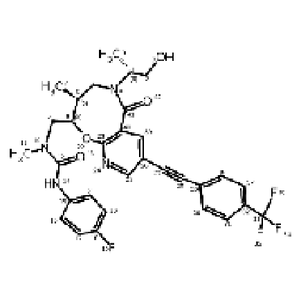 C[C@H](CO)N1C[C@H](C)[C@H](CN(C)C(=O)Nc2ccc(F)cc2)Oc2ncc(C#Cc3ccc(C(F)(F)F)cc3)cc2C1=O